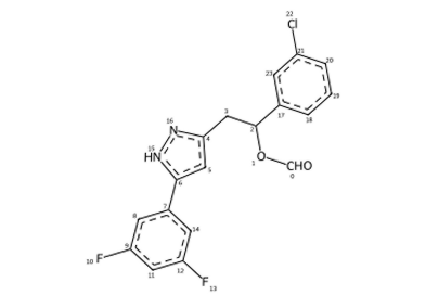 O=COC(Cc1cc(-c2cc(F)cc(F)c2)[nH]n1)c1cccc(Cl)c1